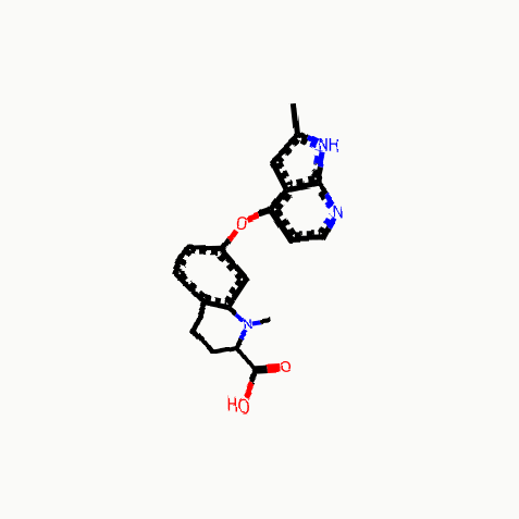 Cc1cc2c(Oc3ccc4c(c3)N(C)C(C(=O)O)CC4)ccnc2[nH]1